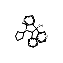 CCN(C1CCCC1)C(c1ccccc1)C(O)(c1cccnc1)c1cccnc1